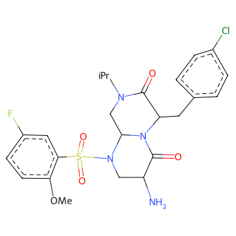 COc1ccc(F)cc1S(=O)(=O)N1CC(N)C(=O)N2C(Cc3ccc(Cl)cc3)C(=O)N(C(C)C)CC21